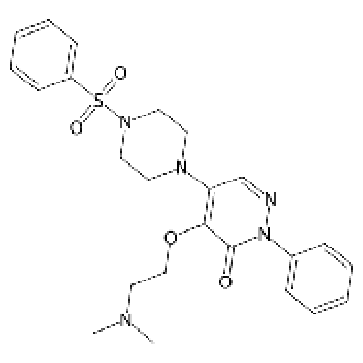 CN(C)CCOc1c(N2CCN(S(=O)(=O)c3ccccc3)CC2)cnn(-c2ccccc2)c1=O